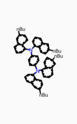 CCCCc1ccc2c(N(c3ccc(N(c4cccc5cc(CCCC)ccc45)c4cccc5cc(CCCC)ccc45)cc3)c3cccc4cc(CCCC)ccc34)cccc2c1